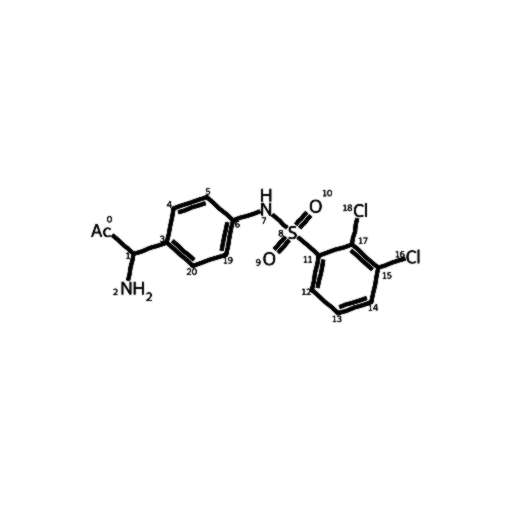 CC(=O)C(N)c1ccc(NS(=O)(=O)c2cccc(Cl)c2Cl)cc1